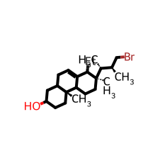 CCC1C2=CCC3CC(O)CC[C@@]3(C)C2CC[C@]1(C)[C@H](C)[C@H](C)CBr